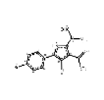 NC(=O)c1c(N(N)C=O)[nH]c(-c2ccc(Br)cc2)c1Cl